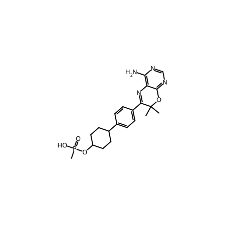 CC1(C)Oc2ncnc(N)c2N=C1c1ccc(C2CCC(OP(C)(=O)O)CC2)cc1